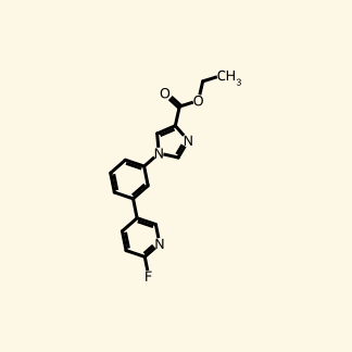 CCOC(=O)c1cn(-c2cccc(-c3ccc(F)nc3)c2)cn1